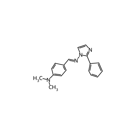 CN(C)c1ccc(/C=N/n2ccnc2-c2ccccc2)cc1